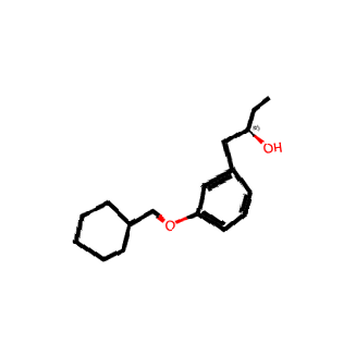 CC[C@@H](O)Cc1cccc(OCC2CCCCC2)c1